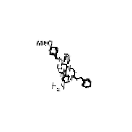 COc1ccc(CNC(=O)[C@@H](CC(C)C)N2CCC(CCc3ccccc3)N3C[C@H](N)C[C@H]3C2=O)cc1